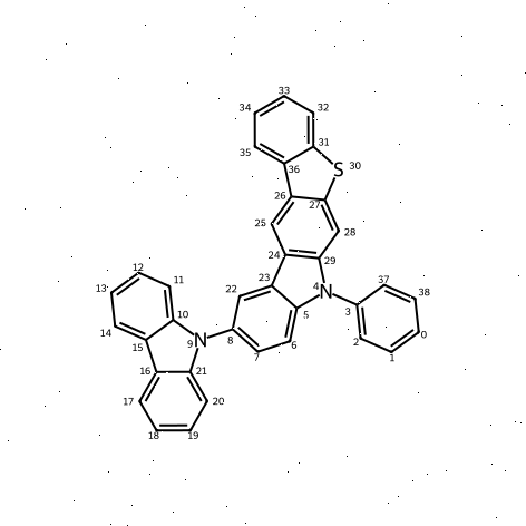 c1ccc(-n2c3ccc(-n4c5ccccc5c5ccccc54)cc3c3cc4c(cc32)sc2ccccc24)cc1